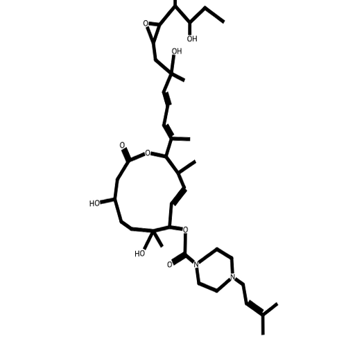 CCC(O)C(C)C1OC1CC(C)(O)/C=C/C=C(\C)C1OC(=O)CC(O)CCC(C)(O)C(OC(=O)N2CCN(CC=C(C)C)CC2)/C=C/C1C